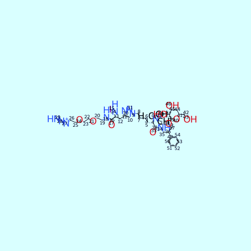 C[N+](C)(C)[C@@H](CCCCn1cc(C[C@H](NI)C(=O)NCCOCCOCCN=[N+]=N)nn1)C(=O)NCC(CO[C@@H]1O[C@H](CO)C[C@H](O)[C@H]1O)c1ccccc1